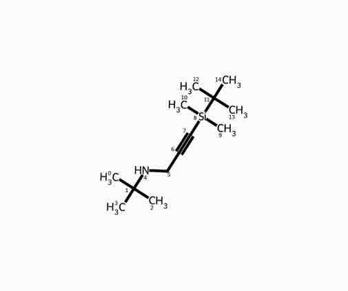 CC(C)(C)NCC#C[Si](C)(C)C(C)(C)C